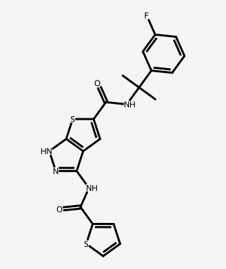 CC(C)(NC(=O)c1cc2c(NC(=O)c3cccs3)n[nH]c2s1)c1cccc(F)c1